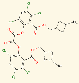 CCC(C)C1CC(COC(=O)c2c(Cl)c(Cl)cc(Cl)c2OC(=O)C(=O)Oc2c(Cl)cc(Cl)c(Cl)c2C(=O)OCC2CC(C(C)CC)C2)C1